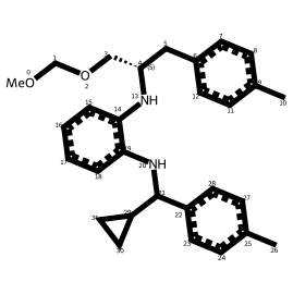 COCOC[C@H](Cc1ccc(C)cc1)Nc1ccccc1NC(c1ccc(C)cc1)C1CC1